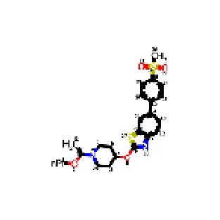 C=C(OCCC)N1CCC(Oc2nc3ccc(-c4ccc(S(C)(=O)=O)cc4)cc3s2)CC1